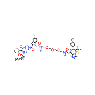 CN[C@@H](C)C(=O)N[C@H](C(=O)N1CCN(C(=O)c2cc3cc(F)ccc3n2CC(=O)NCCOCCOCCOCCNC(=O)C[C@@H]2N=C(c3ccc(Cl)cc3)c3c(sc(C)c3C)-n3c(C)nnc32)CC1)C1CCCCC1